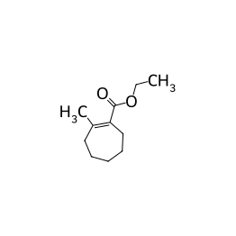 CCOC(=O)C1=C(C)CCCCC1